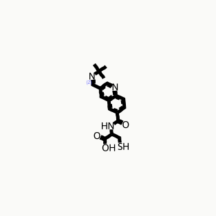 CC(C)(C)/N=C\c1cnc2ccc(C(=O)NC(CS)C(=O)O)cc2c1